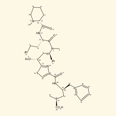 CC(=O)O[C@H](C[C@H](C(C)C)N(C)C(=O)[C@H](CCC(C)C)NC(=O)[C@H]1CCCCN1C)c1nc(C(=O)N[C@@H](Cc2ccccc2)C[C@H](C)C(=O)O)cs1